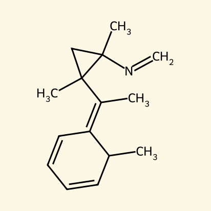 C=NC1(C)CC1(C)/C(C)=C1\C=CC=CC1C